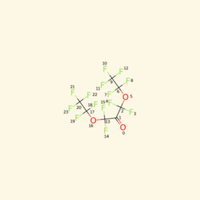 O=C(C(F)(F)OC(F)(F)C(F)(F)F)C(F)(F)OC(F)(F)C(F)(F)F